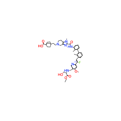 CCOC(=O)C(CO)NCc1cnc(/C(F)=C/c2cccc(-c3cccc(NC(=O)c4nc5c(n4C)CCN(CCC46CCC(C(=O)O)(CC4)C6)C5)c3C)c2C)cc1OC